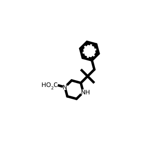 CC(C)(Cc1ccccc1)C1CN(C(=O)O)CCN1